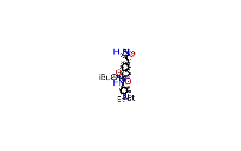 CCN(CC)c1ccc(NC(=O)[C@]2(NC(=O)OCC(C)C)CCc3cc(/C=C/C(N)=O)ccc3C2)cc1